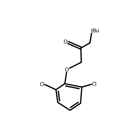 CC(C)(C)CC(=O)COc1c(Cl)cccc1Cl